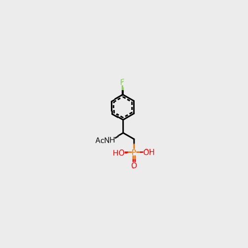 CC(=O)NC(CP(=O)(O)O)c1ccc(F)cc1